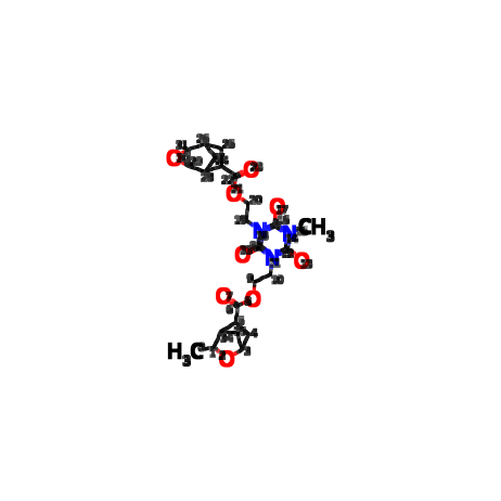 CC1OC2CC(C(=O)OCCn3c(=O)n(C)c(=O)n(CCOC(=O)C4CC5CC4C4OC54)c3=O)C1C2